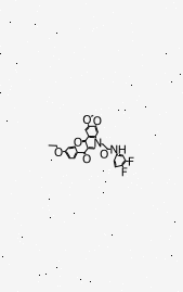 CCOc1ccc(C(=O)c2cn(CC(=O)Nc3ccc(F)c(F)c3)c3cc4c(cc3c2=O)OCO4)cc1